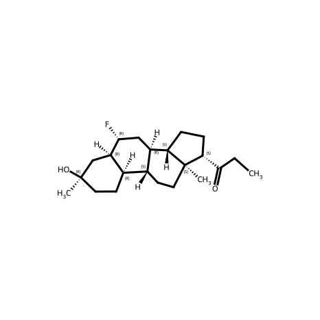 CCC(=O)[C@H]1CC[C@H]2[C@@H]3C[C@@H](F)[C@@H]4C[C@](C)(O)CC[C@@H]4[C@H]3CC[C@]12C